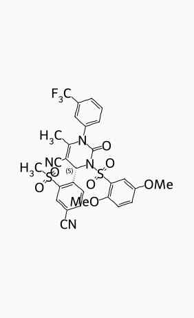 COc1ccc(OC)c(S(=O)(=O)N2C(=O)N(c3cccc(C(F)(F)F)c3)C(C)=C(C#N)[C@H]2c2ccc(C#N)cc2S(C)(=O)=O)c1